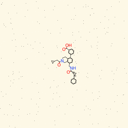 O=C(O)c1cccc(-c2ccc(CNC(=O)[C@H]3C[C@H]3c3ccccc3)c3c2CCN(C(=O)CC2CC2)C3)c1